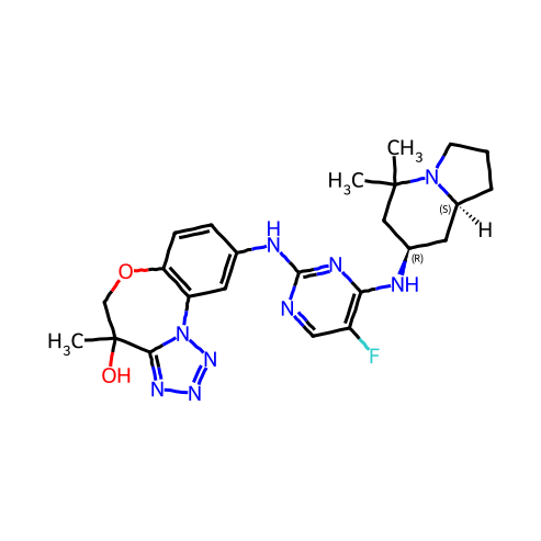 CC1(O)COc2ccc(Nc3ncc(F)c(N[C@@H]4C[C@@H]5CCCN5C(C)(C)C4)n3)cc2-n2nnnc21